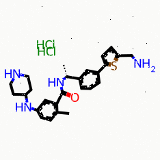 Cc1ccc(NC2CCNCC2)cc1C(=O)N[C@H](C)c1cccc(-c2ccc(CN)s2)c1.Cl.Cl